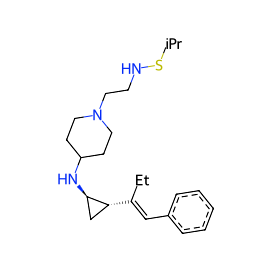 CC/C(=C\c1ccccc1)[C@@H]1C[C@H]1NC1CCN(CCNSC(C)C)CC1